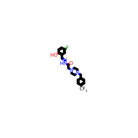 O=C(CN1CCN(Cc2ccc(C(F)(F)F)cc2)CC1)NN=Cc1cc(F)ccc1O